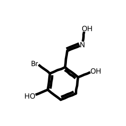 ON=Cc1c(O)ccc(O)c1Br